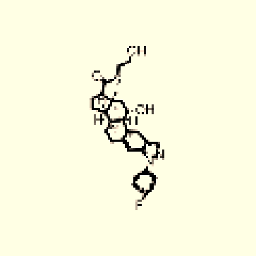 C[C@@]12C[C@H](O)[C@H]3[C@@H](CCC4=Cc5c(cnn5-c5ccc(F)cc5)C[C@@]43C)[C@@H]1CC[C]2C(=O)SCCO